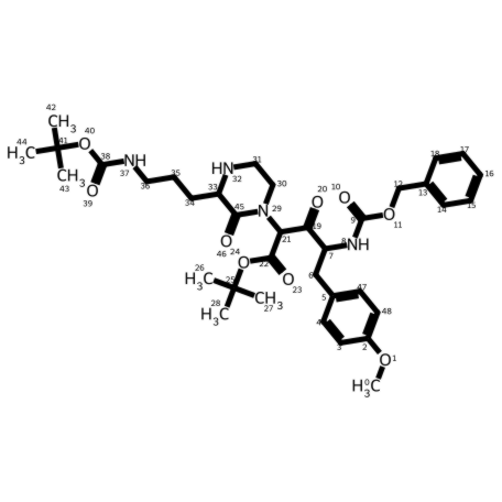 COc1ccc(CC(NC(=O)OCc2ccccc2)C(=O)C(C(=O)OC(C)(C)C)N2CCNC(CCCNC(=O)OC(C)(C)C)C2=O)cc1